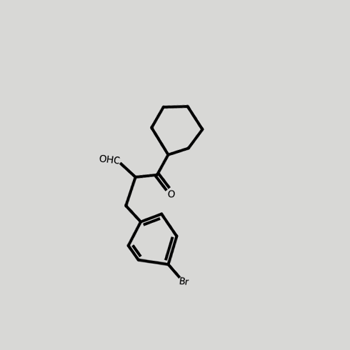 O=CC(Cc1ccc(Br)cc1)C(=O)C1CCCCC1